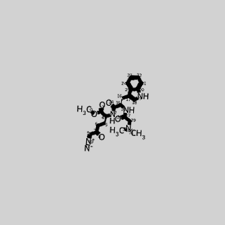 COC(=O)[C@H](CCC(=O)C=[N+]=[N-])NC(=O)[C@H](Cc1c[nH]c2ccccc12)NC(=O)CN(C)C